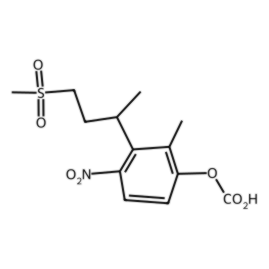 Cc1c(OC(=O)O)ccc([N+](=O)[O-])c1C(C)CCS(C)(=O)=O